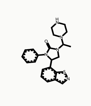 CC(N1CCNCC1)N1CC(c2cccc3cnsc23)N(c2ccccc2)C1=O